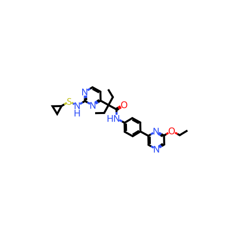 CCOc1cncc(-c2ccc(NC(=O)C(CC)(CC)c3ccnc(NSC4CC4)n3)cc2)n1